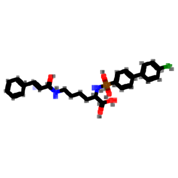 O=C(/C=C/c1ccccc1)NCCCCC(NS(=O)(=O)c1ccc(-c2ccc(Br)cc2)cc1)C(=O)O